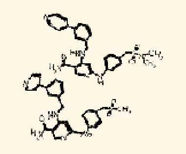 CN(C)S(=O)(=O)Cc1ccc(Nc2cc(NCc3cccc(-c4ccncc4)c3)c(C(N)=O)cn2)cc1.CS(=O)(=O)Cc1ccc(Nc2cc(NCc3cccc(-c4ccncc4)c3)c(C(N)=O)cn2)cc1